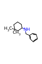 CC1(C)CCCC(NCc2ccccc2)C1